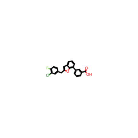 O=C(O)c1cccc(-c2cccc3cc(Cc4ccc(F)c(Cl)c4)oc23)c1